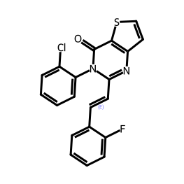 O=c1c2sccc2nc(/C=C/c2ccccc2F)n1-c1ccccc1Cl